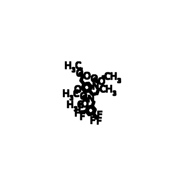 CCOC(=O)Cc1cc2c(cc1OC)C(N(Cc1cc(C(F)(F)F)cc(C(F)(F)F)c1)C(=O)OC)CC(C)N2C(=O)OCC